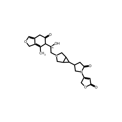 CC1=C2COC=C2CC(=O)C1[C@@H](O)CN1CC2C(C1)C2C1CC(=O)N(C2=CC(=O)OC2)C1